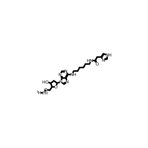 [3H]POCC1OC(n2cnc3c(NCCCCCCNC(=O)Cc4c[nH]cn4)ncnc32)CC1O